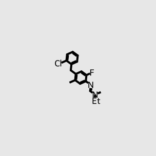 CCN(C)C=Nc1cc(C)c(Cc2ccccc2Cl)cc1F